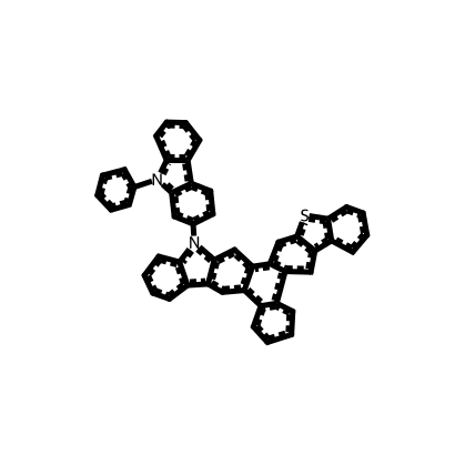 c1ccc(-n2c3ccccc3c3ccc(-n4c5ccccc5c5cc6c7ccccc7c7cc8c(cc7c6cc54)sc4ccccc48)cc32)cc1